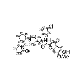 COc1cc2oc(C(=O)N[C@@H](C=C3CCN(c4ccccc4CN4CCCCC4=O)CC3)Cc3ccc(Cl)cc3)cc(=O)c2cc1O